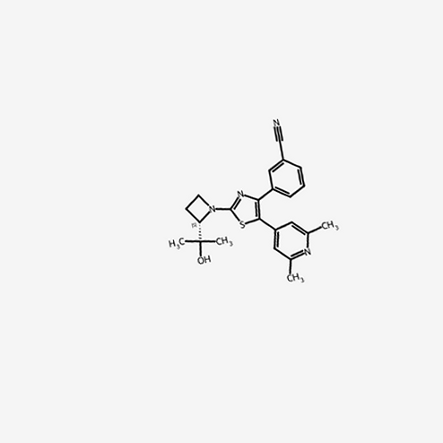 Cc1cc(-c2sc(N3CC[C@H]3C(C)(C)O)nc2-c2cccc(C#N)c2)cc(C)n1